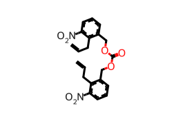 C=CCc1c(COC(=O)OCc2cccc([N+](=O)[O-])c2CC=C)cccc1[N+](=O)[O-]